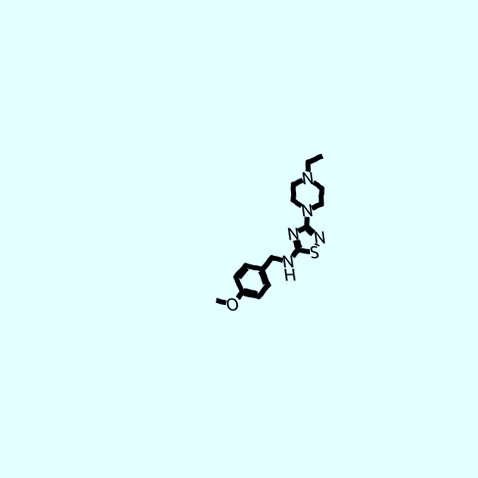 CCN1CCN(c2nsc(NCc3ccc(OC)cc3)n2)CC1